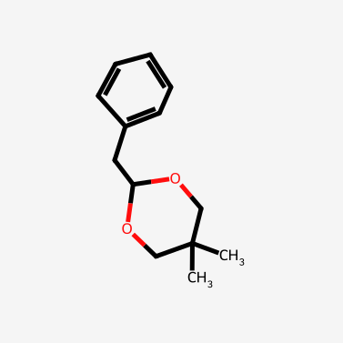 CC1(C)COC(Cc2ccccc2)OC1